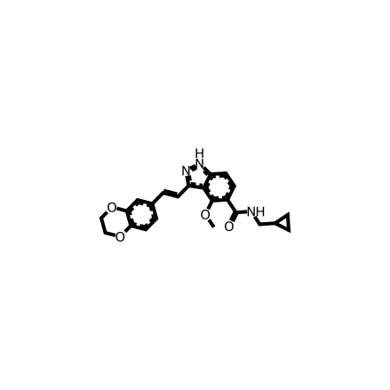 COc1c(C(=O)NCC2CC2)ccc2[nH]nc(/C=C/c3ccc4c(c3)OCCO4)c12